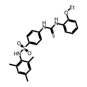 CCOc1ccccc1NC(=S)Nc1ccc(S(=O)(=O)Nc2c(C)cc(C)cc2C)cc1